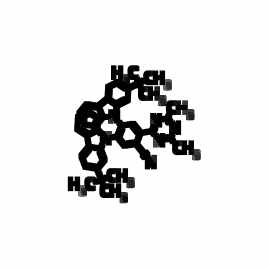 Cc1nc(C)nc(-c2cc(-n3c4ccccc4c4ccc(C(C)(C)C)cc43)c(-n3c4ccccc4c4ccc(C(C)(C)C)cc43)cc2C#N)n1